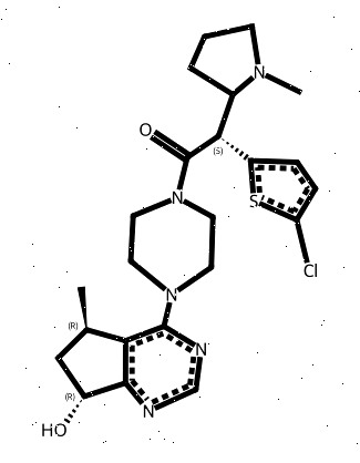 C[C@@H]1C[C@@H](O)c2ncnc(N3CCN(C(=O)[C@@H](c4ccc(Cl)s4)C4CCCN4C)CC3)c21